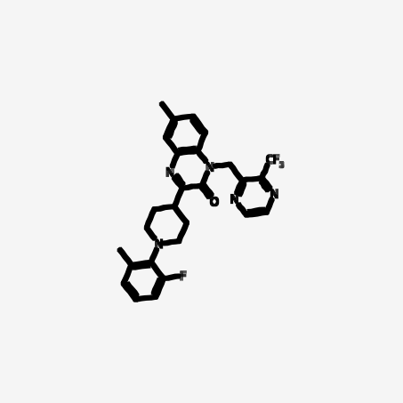 Cc1ccc2c(c1)nc(C1CCN(c3c(C)cccc3F)CC1)c(=O)n2Cc1nccnc1C(F)(F)F